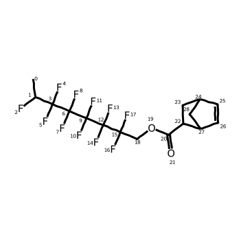 CC(F)C(F)(F)C(F)(F)C(F)(F)C(F)(F)C(F)(F)COC(=O)C1CC2C=CC1C2